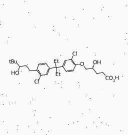 CCC(CC)(c1ccc(CCC(O)C(C)(C)C)c(Cl)c1)c1ccc(OCC(O)CCC(=O)O)c(Cl)c1